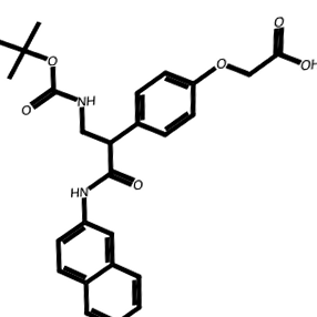 CC(C)(C)OC(=O)NCC(C(=O)Nc1ccc2cnccc2c1)c1ccc(OCC(=O)O)cc1